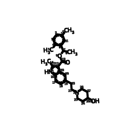 Cc1ccc(C)c(C(C)OC(=O)c2c(C)[nH]c3ccc(CCN4CCC(O)CC4)cc23)c1